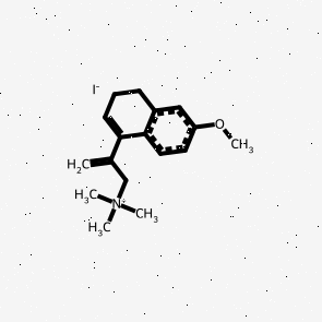 C=C(C[N+](C)(C)C)C1=CCCc2cc(OC)ccc21.[I-]